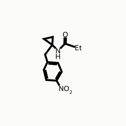 CCC(=O)NC1(Cc2ccc([N+](=O)[O-])cc2)CC1